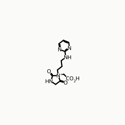 O=C(O)C[N+]1(CCCNc2ncccn2)C(=O)CNC1=O